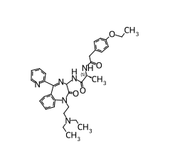 CCOc1ccc(CC(=O)N[C@@H](C)C(=O)NC2N=C(c3ccccn3)c3ccccc3N(CCN(CC)CC)C2=O)cc1